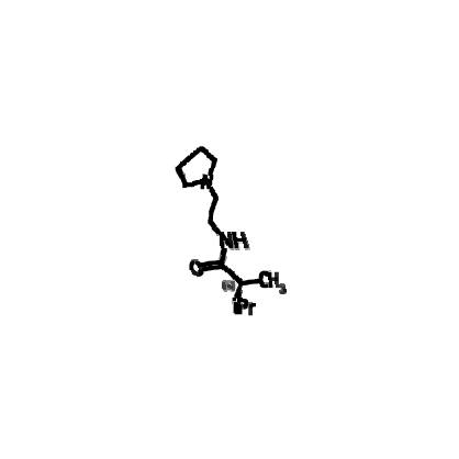 CC(C)[C@H](C)C(=O)NCCN1CCCC1